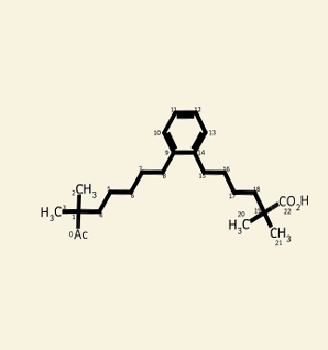 CC(=O)C(C)(C)CCCCCc1ccccc1CCCCC(C)(C)C(=O)O